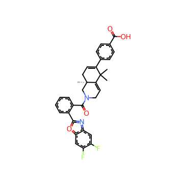 CC1(C)C(c2ccc(C(=O)O)cc2)=CC[C@]2(C)CN(C(=O)c3ccccc3-c3nc4cc(F)c(F)cc4o3)CC=C12